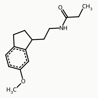 CCC(=O)NCCC1CCc2ccc(OC)cc21